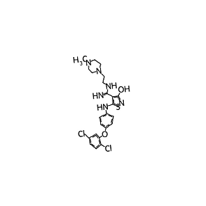 CN1CCN(CCNC(=N)c2c(O)nsc2Nc2ccc(Oc3cc(Cl)ccc3Cl)cc2)CC1